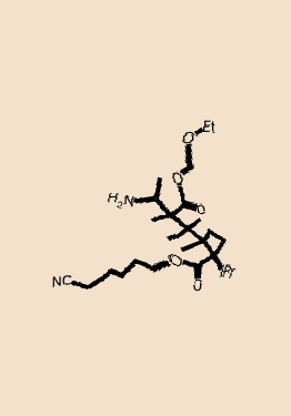 CCOCOC(=O)C(C)(C(C)N)C(C)(C)C1(C)CCC1(C(=O)OCCCCCC#N)C(C)C